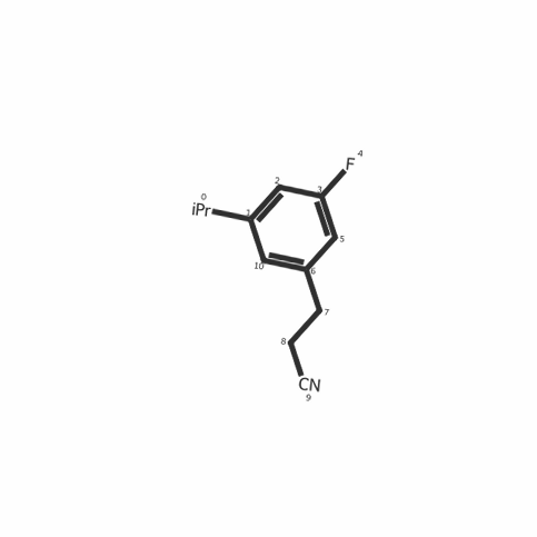 CC(C)c1cc(F)cc(CCC#N)c1